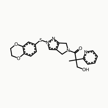 CC(CO)(C(=O)N1Cc2cn(Sc3ccc4c(c3)OCCO4)nc2C1)c1ccccn1